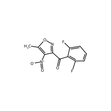 Cc1onc(C(=O)c2c(F)cccc2F)c1[N+](=O)[O-]